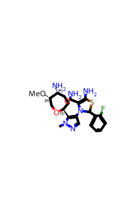 CO[C@H]1CO[C@H](c2c(N3C(C(N)=O)=C(N)SC3c3ccccc3F)cnn2C)CC[C@H]1N